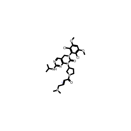 COc1cc(OC)c(Cl)c(N2Cc3cnc(NC(C)C)nc3N(C3CCN(C(=O)/C=C/CN(C)C)C3)C2=O)c1Cl